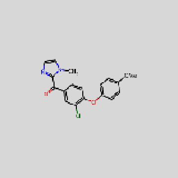 COc1ccc(Oc2ccc(C(=O)c3nccn3C)cc2Cl)cc1